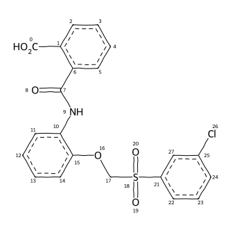 O=C(O)c1ccccc1C(=O)Nc1ccccc1OCS(=O)(=O)c1cccc(Cl)c1